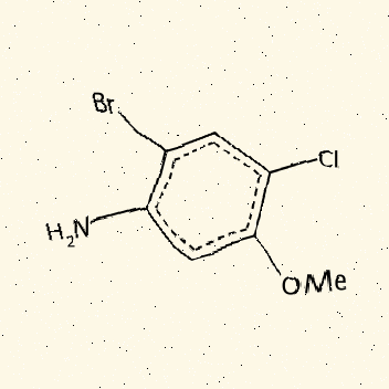 COc1cc(N)c(Br)cc1Cl